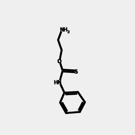 NCCOC(=S)Nc1ccccc1